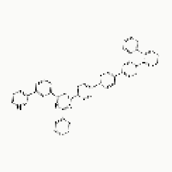 c1ccc(-c2nc(-c3ccc(-c4ccc(-c5ccc6c7ccccc7c7ccccc7c6c5)cc4)cc3)cc(-c3cccc(-c4cccnc4)c3)n2)cc1